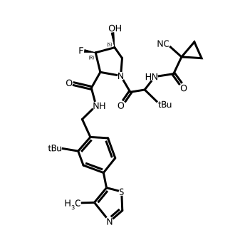 Cc1ncsc1-c1ccc(CNC(=O)C2[C@@H](F)[C@@H](O)CN2C(=O)C(NC(=O)C2(C#N)CC2)C(C)(C)C)c(C(C)(C)C)c1